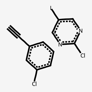 C#Cc1cccc(Cl)c1.Clc1ncc(I)cn1